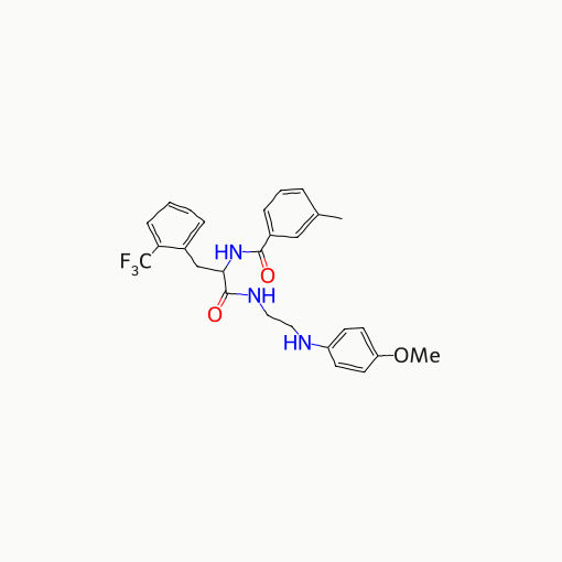 COc1ccc(NCCNC(=O)C(Cc2ccccc2C(F)(F)F)NC(=O)c2cccc(C)c2)cc1